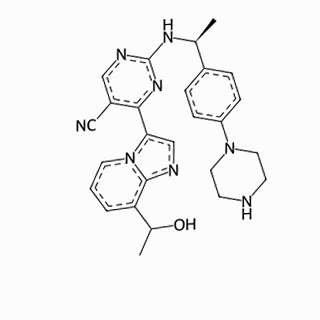 CC(O)c1cccn2c(-c3nc(N[C@@H](C)c4ccc(N5CCNCC5)cc4)ncc3C#N)cnc12